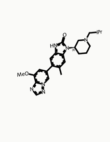 COc1cc(-c2cc3[nH]c(=O)n([C@@H]4CCCN(CC(C)C)C4)c3cc2C)cn2ncnc12